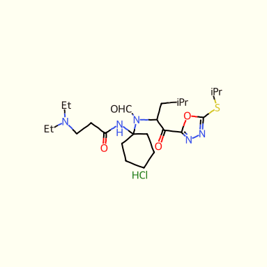 CCN(CC)CCC(=O)NC1(N(C=O)C(CC(C)C)C(=O)c2nnc(SC(C)C)o2)CCCCC1.Cl